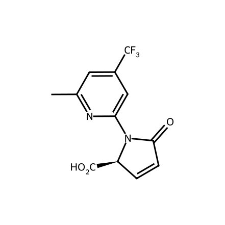 Cc1cc(C(F)(F)F)cc(N2C(=O)C=C[C@H]2C(=O)O)n1